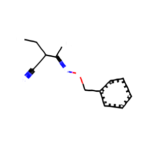 CCC(C#N)/C(C)=N/OCc1ccccc1